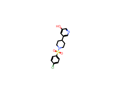 O=S(=O)(c1ccc(Cl)cc1)N1CCC(c2cncc(O)c2)CC1